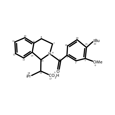 COc1cc(C(=O)N2CCc3ccccc3C2C(C(=O)O)C(C)C)ccc1C(C)(C)C